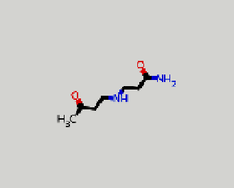 CC(=O)CCNCCC(N)=O